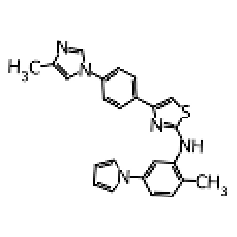 Cc1cn(-c2ccc(-c3csc(Nc4cc(-n5cccc5)ccc4C)n3)cc2)cn1